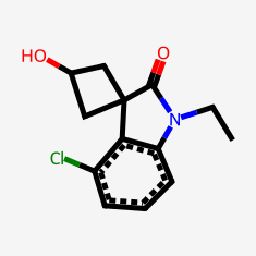 CCN1C(=O)C2(CC(O)C2)c2c(Cl)cccc21